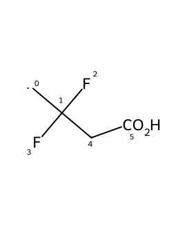 [CH2]C(F)(F)CC(=O)O